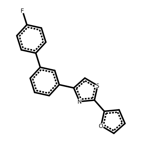 Fc1ccc(-c2cccc(-c3csc(-c4ccco4)n3)c2)cc1